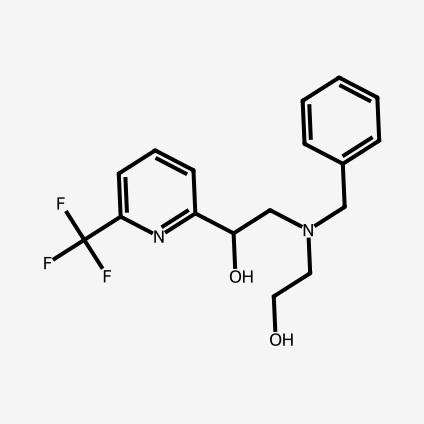 OCCN(Cc1ccccc1)CC(O)c1cccc(C(F)(F)F)n1